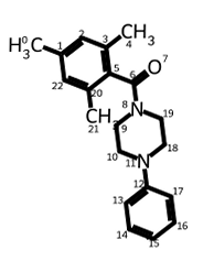 Cc1cc(C)c(C(=O)N2CCN(c3cc[c]cc3)CC2)c(C)c1